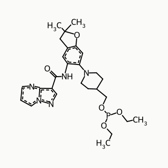 CCOP(OCC)OCC1CCN(c2cc3c(cc2NC(=O)c2cnn4cccnc24)CC(C)(C)O3)CC1